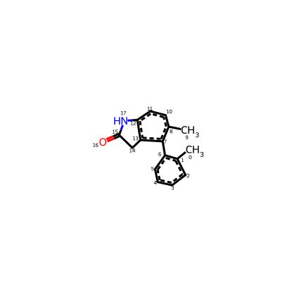 Cc1ccccc1-c1c(C)ccc2c1CC(=O)N2